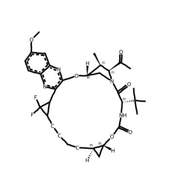 COc1ccc2nc3c(nc2c1)O[C@H]1CN(C(=O)[C@H](C(C)(C)C)NC(=O)O[C@@H]2C[C@H]2CCCCC2C3C2(F)F)[C@H](C(C)=O)[C@@H]1C